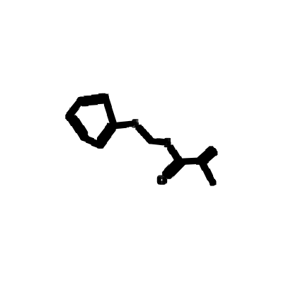 C=C(C)C(=O)SCSc1ccccc1